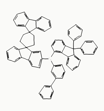 c1ccc(-c2cccc(N(c3ccc4c(c3)C3(CCC5(CC3)c3ccccc3-c3ccccc35)c3ccccc3-4)c3cccc4c3-c3ccccc3C4(c3ccccc3)c3ccccc3)c2)cc1